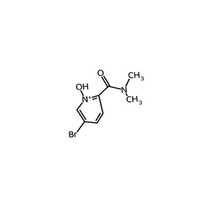 CN(C)C(=O)c1ccc(Br)c[n+]1O